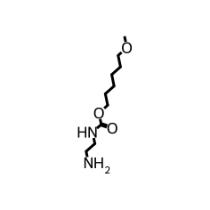 COCCCCCCOC(=O)NCCN